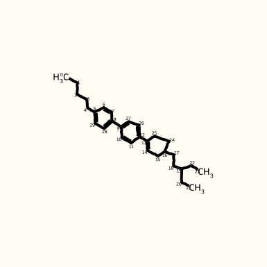 CCCCCc1ccc(-c2ccc(C3=CCC(CCC(CC)CC)CC3)cc2)cc1